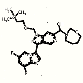 C[Si](C)(C)CCOCn1nc(-c2cnc3c(F)cc(F)cn23)c2cnc(C(O)N3CCCCCC3)cc21